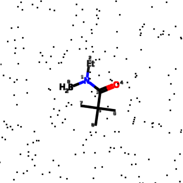 BN(CC)C(=O)C(C)(C)C